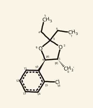 [CH2][C@H]1OC(CC)(CC)O[C@@H]1c1ccccc1Cl